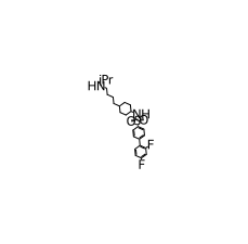 CC(C)NCCCCC1CCC(NS(=O)(=O)c2ccc(-c3ccc(F)cc3F)cc2)CC1